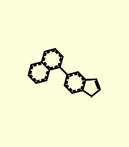 [CH]1C=Cc2cc(-c3cccc4ccccc34)ccc21